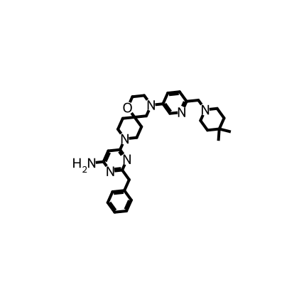 CC1(C)CCN(Cc2ccc(N3CCOC4(CCN(c5cc(N)nc(Cc6ccccc6)n5)CC4)C3)cn2)CC1